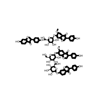 COc1cc2c(=O)c(-c3ccc(O)cc3)coc2cc1O[C@@H]1O[C@H](CO)[C@@H](O)[C@H](O)[C@H]1O.COc1cc2c(=O)c(-c3ccc(O)cc3)coc2cc1O[C@@H]1O[C@H](CO)[C@@H](O)[C@H](O)[C@H]1O.O=c1c(-c2ccc(O)cc2)coc2cc(O)ccc12.O=c1c(-c2ccc(O)cc2)coc2cc(OC3O[C@H](CO)[C@@H](O)[C@H](O)[C@H]3O)ccc12